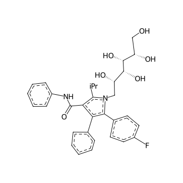 CC(C)c1c(C(=O)Nc2ccccc2)c(-c2ccccc2)c(-c2ccc(F)cc2)n1C[C@H](O)[C@@H](O)[C@H](O)[C@@H](O)CO